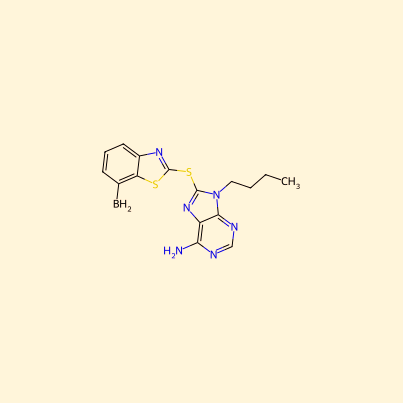 Bc1cccc2nc(Sc3nc4c(N)ncnc4n3CCCC)sc12